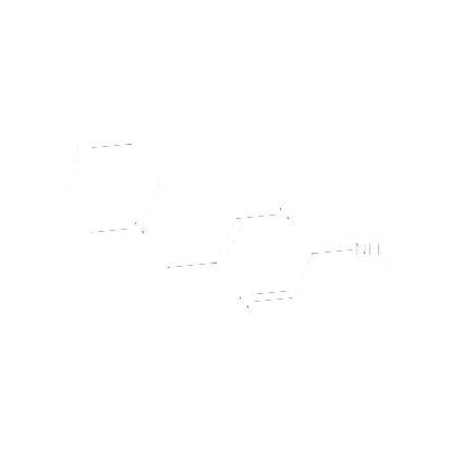 Nc1cnc(CN2CCOCC2)cn1